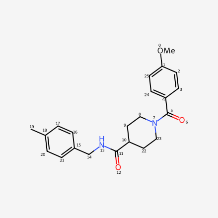 COc1ccc(C(=O)N2CCC(C(=O)NCc3ccc(C)cc3)CC2)cc1